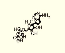 C[C@@]1(c2ccc3c(N)ncnn23)O[C@H](COP(=O)(O)OP(=O)(O)O)[C@@H](O)[C@H]1O